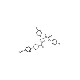 CN(C(=O)Oc1ccc(F)cc1)[C@@H]1CN(C(=O)C2CCN(c3ccc(C#N)cn3)CC2)C[C@H]1c1ccc(F)cc1